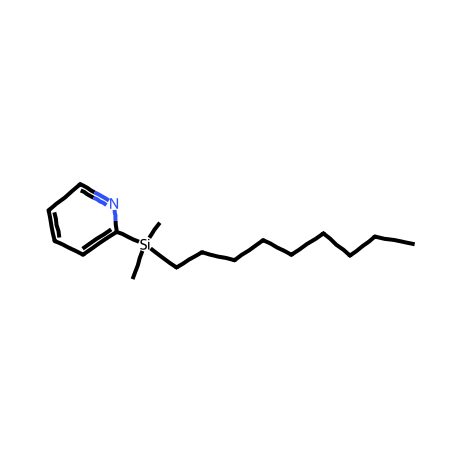 CCCCCCCCC[Si](C)(C)c1ccccn1